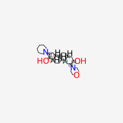 C[C@]12C[C@H](N3CCOCC3)[C@@H](O)C[C@@H]1CC[C@@H]1[C@@H]2CC[C@]2(C)[C@@H](O)[C@@H](N3CCCCCC3)C[C@@H]12